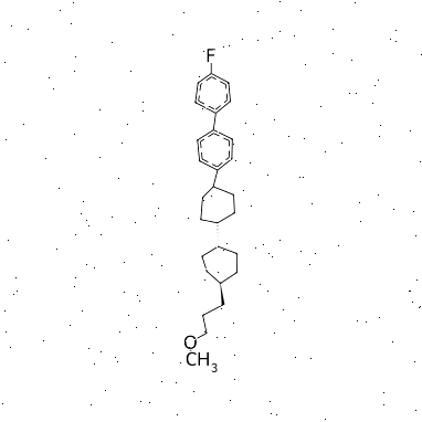 COCCC[C@H]1CC[C@H](C2CCC(c3ccc(-c4ccc(F)cc4)cc3)CC2)CC1